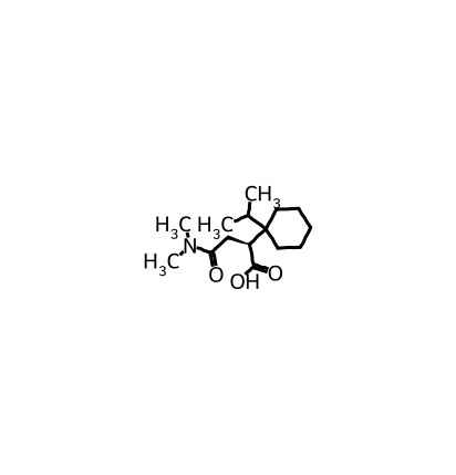 CC(C)C1([C@H](CC(=O)N(C)C)C(=O)O)CCCCC1